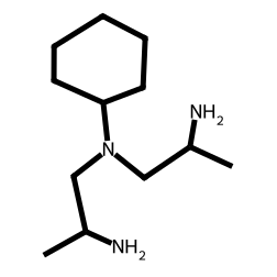 CC(N)CN(CC(C)N)C1CCCCC1